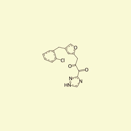 O=C(Cc1cc(Cc2ccccc2Cl)co1)C(=O)c1nc[nH]n1